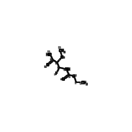 CCOC(=O)NC(F)C(OC)C(=O)O